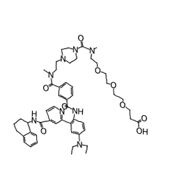 CCN(CC)c1ccc(NC(=O)c2cccc(C(=O)N(C)CCN3CCN(C(=O)N(C)CCOCCOCCOCCC(=O)O)CC3)c2)c(-c2cc(C(=O)NC3CCCc4ccccc43)ccn2)c1